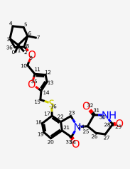 CC1(C)C2CCC1(C)C(OCc1ccc(CSc3cccc4c3CN(C3CCC(=O)NC3=O)C4=O)o1)C2